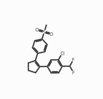 CS(=O)(=O)c1ccc(C2=C(c3ccc(C(F)F)c(Cl)c3)CCC2)cc1